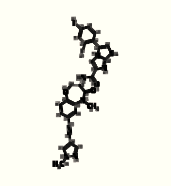 CN1C(=O)[C@@H](NC(=O)c2cn3c(-c4ccc(F)cc4F)csc3n2)COc2ccc(C#Cc3cnn(C)c3)cc21